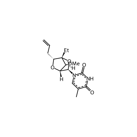 C=CC[C@H]1O[C@H]2[C@H](n3cc(C)c(=O)[nH]c3=O)O[C@]1(CC)[C@H]2OC